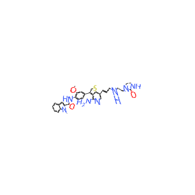 COc1cc(-c2csc3c(C=CCNCCN4CCNC4=O)cnc(N)c23)ccc1NC(=O)c1cc2ccccc2n1C